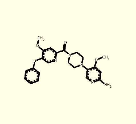 COc1cc(C(=O)N2CCN(c3cnc(N)cc3OC)CC2)ncc1Oc1ccccc1